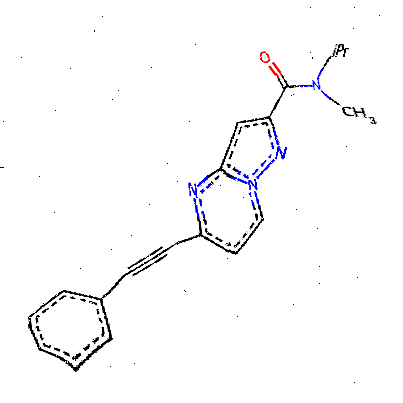 CC(C)N(C)C(=O)c1cc2nc(C#Cc3ccccc3)ccn2n1